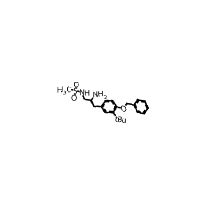 CC(C)(C)c1cc(CC(N)CNS(C)(=O)=O)ccc1OCc1ccccc1